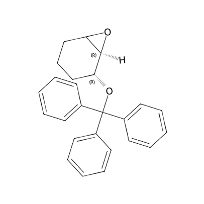 c1ccc(C(O[C@@H]2CCCC3O[C@H]32)(c2ccccc2)c2ccccc2)cc1